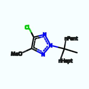 CCCCCCCC(C)(CCCCC)n1nc(Cl)c(OC)n1